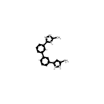 Cc1nnc(-c2cccc(-c3cccc(-c4cc(N)on4)c3)c2)s1